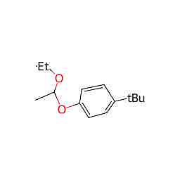 C[CH]OC(C)Oc1ccc(C(C)(C)C)cc1